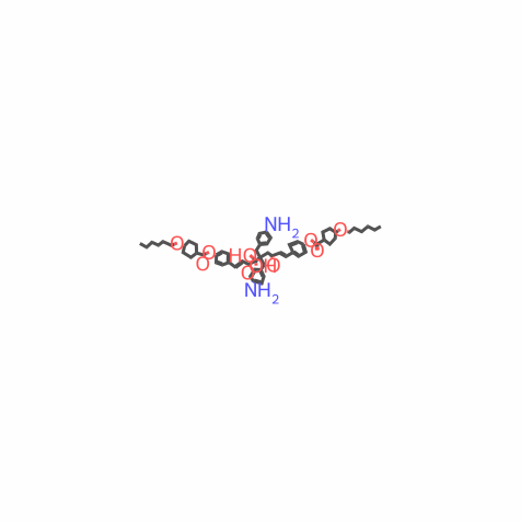 CCCCCCOC1CCC(C(=O)Oc2ccc(/C=C/C(=O)CC(Cc3ccc(N)cc3)(Cc3ccc(N)cc3)C(O)(O)C(=O)/C=C/c3ccc(OC(=O)C4CCC(OCCCCCC)CC4)cc3)cc2)CC1